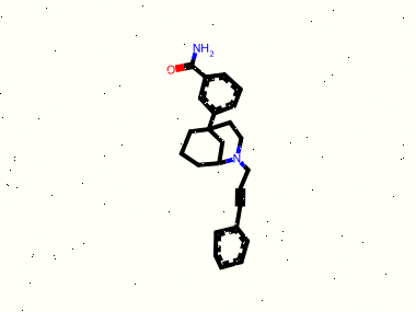 NC(=O)c1cccc(C23CCCC(C2)N(CC#Cc2ccccc2)CC3)c1